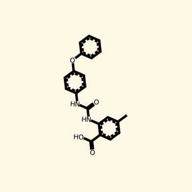 Cc1ccc(C(=O)O)c(NC(=O)Nc2ccc(Oc3ccccc3)cc2)c1